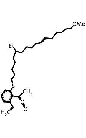 C=Cc1cccc(SCCCCCC(CC)CCCC/C=C/CCCCCOC)c1C(C)=C=O